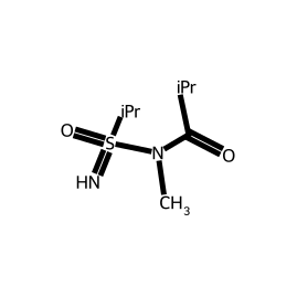 CC(C)C(=O)N(C)S(=N)(=O)C(C)C